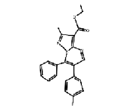 CCOC(=O)c1c(C)nn2c(-c3ccccc3)c(-c3ccc(F)cc3)cnc12